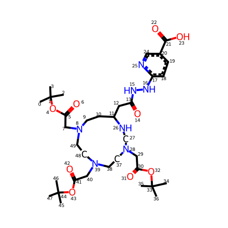 CC(C)(C)OC(=O)CN1CCC(CC(=O)NNc2ccc(C(=O)O)cn2)NCN(CC(=O)OC(C)(C)C)CCN(CC(=O)OC(C)(C)C)CC1